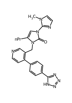 CCCc1cn(-c2nccn2C)c(=O)n1Cc1cnccc1-c1ccc(-c2nnn[nH]2)cc1